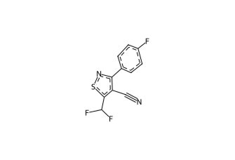 N#Cc1c(-c2ccc(F)cc2)nsc1C(F)F